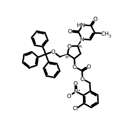 Cc1cn([C@H]2CC(OC(=O)OCc3cccc(Cl)c3[N+](=O)[O-])[C@@H](COC(c3ccccc3)(c3ccccc3)c3ccccc3)O2)c(=O)[nH]c1=O